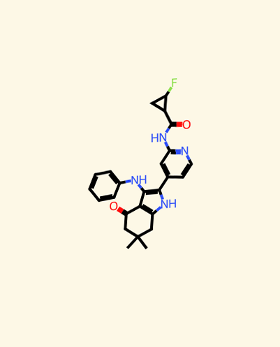 CC1(C)CC(=O)c2c([nH]c(-c3ccnc(NC(=O)C4CC4F)c3)c2Nc2ccccc2)C1